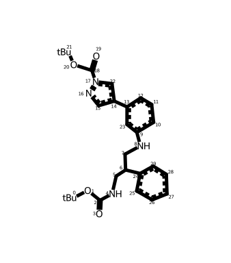 CC(C)(C)OC(=O)NCC(CNc1cccc(-c2cnn(C(=O)OC(C)(C)C)c2)c1)c1ccccc1